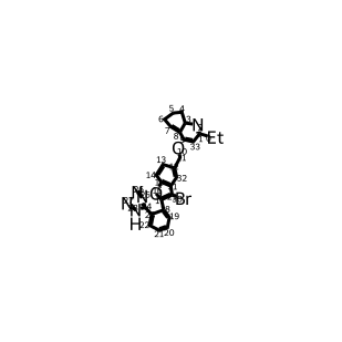 CCC1=NC2CCCC=C2C(OCc2ccc3oc(-c4ccccc4-c4nnn[nH]4)c(Br)c3c2)=C1